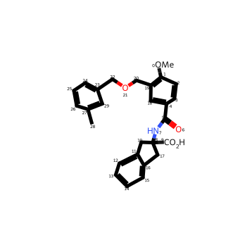 COc1ccc(C(=O)NC2(C(=O)O)Cc3ccccc3C2)cc1COCc1cccc(C)c1